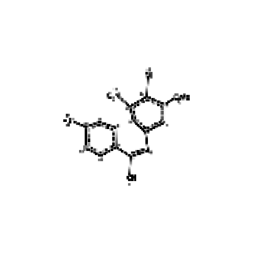 COc1cc(C=C(C#N)c2ccc(C(F)(F)F)nc2)cc([N+](=O)[O-])c1O